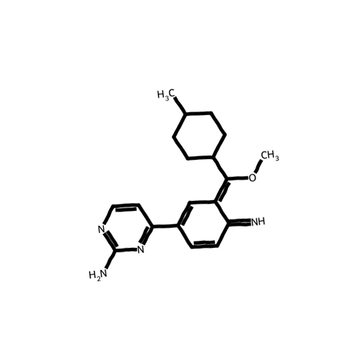 CO/C(=C1/C=C(c2ccnc(N)n2)C=CC1=N)C1CCC(C)CC1